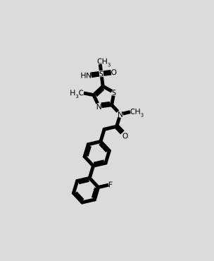 Cc1nc(N(C)C(=O)Cc2ccc(-c3ccccc3F)cc2)sc1S(C)(=N)=O